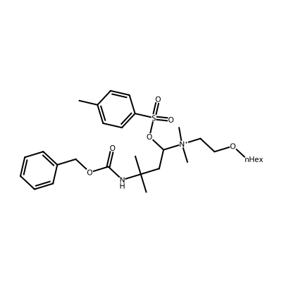 CCCCCCOCC[N+](C)(C)C(CC(C)(C)NC(=O)OCc1ccccc1)OS(=O)(=O)c1ccc(C)cc1